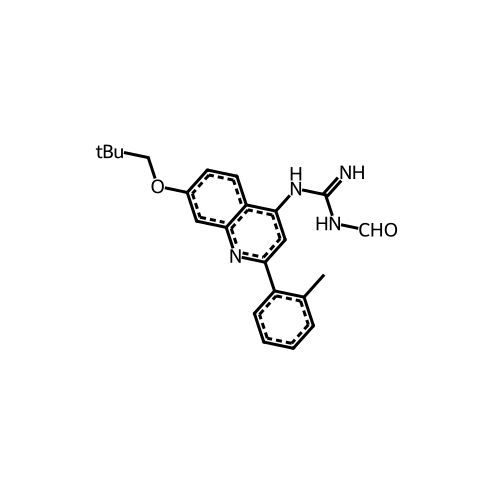 Cc1ccccc1-c1cc(NC(=N)NC=O)c2ccc(OCC(C)(C)C)cc2n1